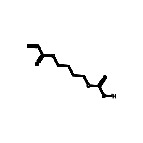 [3H]OC(=O)OCCCCOC(=O)C=C